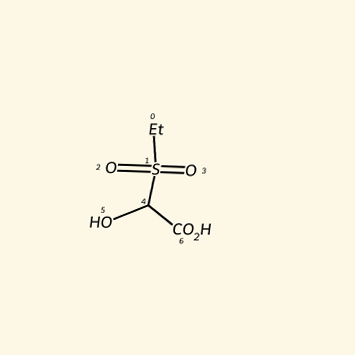 CCS(=O)(=O)C(O)C(=O)O